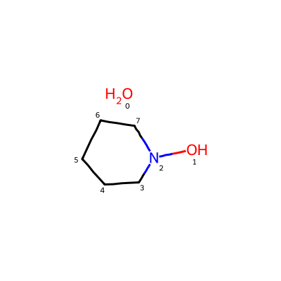 O.ON1CCCCC1